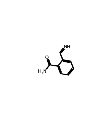 N=Cc1ccccc1C(N)=O